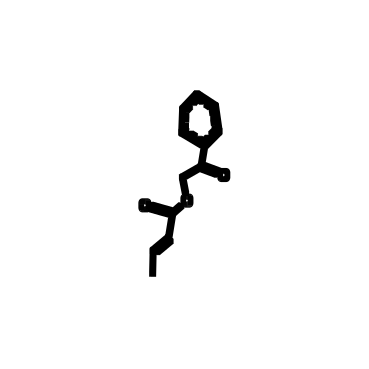 CC=CC(=O)OCC(=O)c1ccccc1